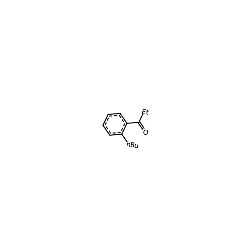 CCCCc1ccccc1C(=O)CC